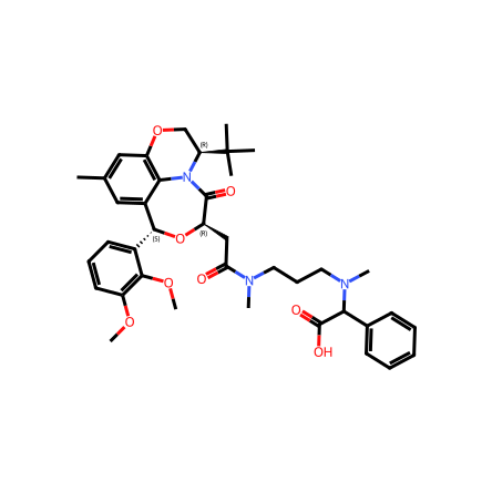 COc1cccc([C@H]2O[C@H](CC(=O)N(C)CCCN(C)C(C(=O)O)c3ccccc3)C(=O)N3c4c(cc(C)cc42)OC[C@H]3C(C)(C)C)c1OC